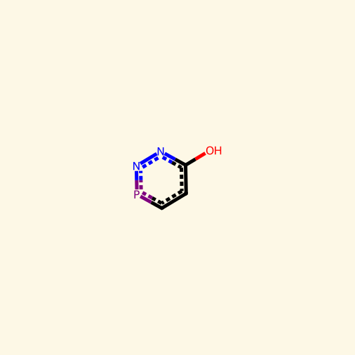 Oc1ccpnn1